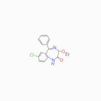 CCOC1N=C(c2ccccc2)c2cc(Cl)ccc2NC1=O